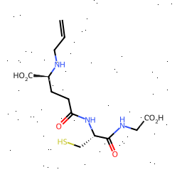 C=CCN[C@@H](CCC(=O)N[C@@H](CS)C(=O)NCC(=O)O)C(=O)O